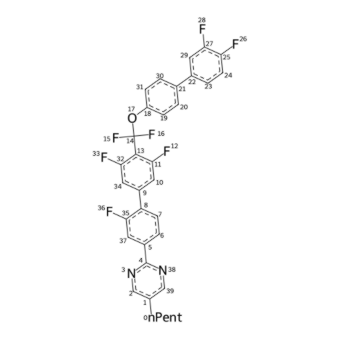 CCCCCc1cnc(-c2ccc(-c3cc(F)c(C(F)(F)Oc4ccc(-c5ccc(F)c(F)c5)cc4)c(F)c3)c(F)c2)nc1